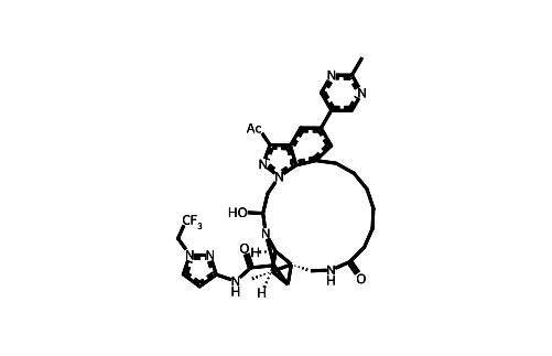 CC(=O)c1nn2c3c(cc(-c4cnc(C)nc4)cc13)CCCCCCC(=O)NC[C@@]13C4[C@@H](C(=O)Nc5ccn(CC(F)(F)F)n5)N(C(O)C2)[C@@H]1[C@]43C